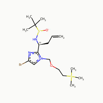 C=CC[C@H](N[S+]([O-])C(C)(C)C)c1nc(Br)cn1COCCS(C)(C)C